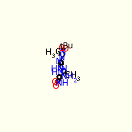 CC1=CN=C(Nc2ccc(N3CCN(C(=O)OC(C)(C)C)C(C)C3)nc2)NC1(N)c1ccc2oc(=O)[nH]c2c1